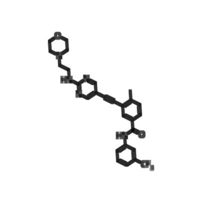 Cc1ccc(C(=O)Nc2cccc(C(F)(F)F)c2)cc1C#Cc1cnc(NCCN2CCOCC2)nc1